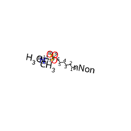 CCCCCCCCCCCCCCCOS(=O)(=O)CCN(C)C